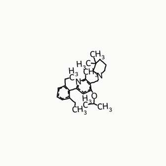 CCc1cccc(CC)c1-c1cc(OC(C)C)c(CN2CCCC(C)(C)C2)c(C)n1